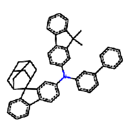 CC1(C)c2ccccc2-c2ccc(N(c3cccc(-c4ccccc4)c3)c3ccc4c(c3)C3(c5ccccc5-4)C4CC5CC(C4)CC3C5)cc21